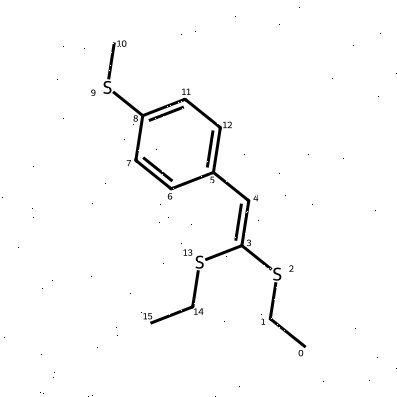 CCSC(=Cc1ccc(SC)cc1)SCC